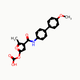 COc1ccc(-c2ccc(NC(=O)c3cc(OC(=O)O)oc3C)cc2)cc1